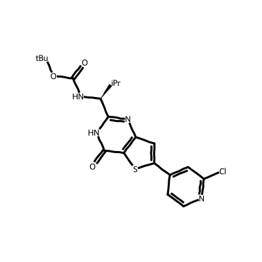 CC(C)[C@H](NC(=O)OC(C)(C)C)c1nc2cc(-c3ccnc(Cl)c3)sc2c(=O)[nH]1